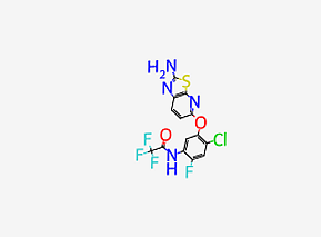 Nc1nc2ccc(Oc3cc(NC(=O)C(F)(F)F)c(F)cc3Cl)nc2s1